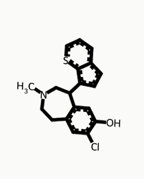 CN1CCc2cc(Cl)c(O)cc2C(c2ccc3cccsc2-3)C1